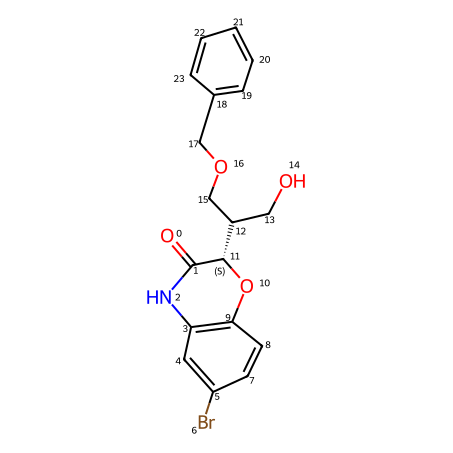 O=C1Nc2cc(Br)ccc2O[C@H]1C(CO)COCc1ccccc1